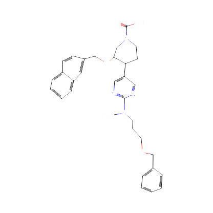 CN(CCCOCc1ccccc1)c1ncc(C2CCN(C(=O)O)CC2OCc2ccc3ccccc3c2)cn1